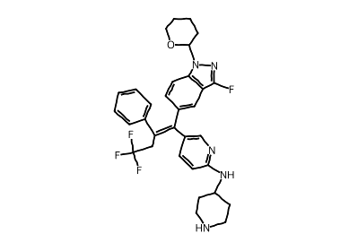 Fc1nn(C2CCCCO2)c2ccc(C(=C(CC(F)(F)F)c3ccccc3)c3ccc(NC4CCNCC4)nc3)cc12